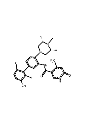 C[C@@H]1CN(c2ccc(-c3c(F)ccc(C#N)c3F)cc2NC(=O)c2c[nH]c(=O)cc2C(F)(F)F)C[C@H](C)N1C